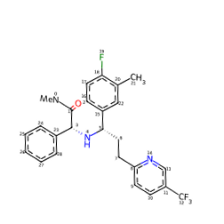 CNC(=O)[C@H](N[C@@H](CCc1ccc(C(F)(F)F)cn1)c1ccc(F)c(C)c1)c1ccccc1